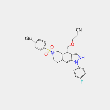 CC(C)(C)c1ccc(S(=O)(=O)N2CCC3=C(C2)[C@H](COCCC#N)C2=CNN(c4ccc(F)cc4)C2=C3)cc1